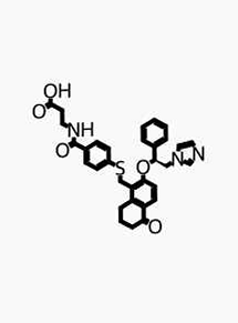 O=C(O)CCNC(=O)c1ccc(SCc2c(O[C@H](Cn3ccnc3)c3ccccc3)ccc3c2CCCC3=O)cc1